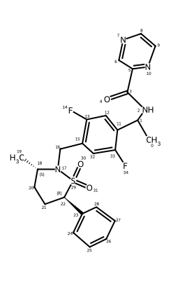 CC(NC(=O)c1cnccn1)c1cc(F)c(CN2[C@@H](C)CC[C@H](c3ccccc3)S2(=O)=O)cc1F